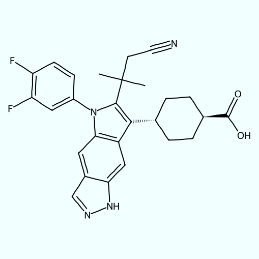 CC(C)(CC#N)c1c([C@H]2CC[C@H](C(=O)O)CC2)c2cc3[nH]ncc3cc2n1-c1ccc(F)c(F)c1